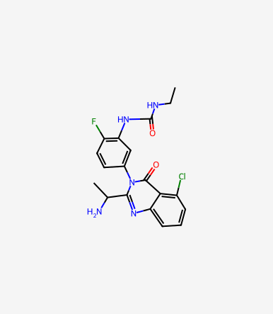 CCNC(=O)Nc1cc(-n2c(C(C)N)nc3cccc(Cl)c3c2=O)ccc1F